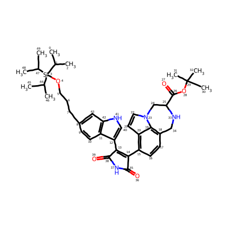 CC(C)[Si](OCCCc1ccc2c(C3=C(c4ccc5c6c4ccn6CC(C(=O)OC(C)(C)C)NC5)C(=O)NC3=O)c[nH]c2c1)(C(C)C)C(C)C